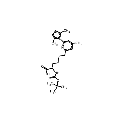 Cc1cc(CSCC[C@@H](NC(=O)OC(C)(C)C)C(=O)O)nc(-n2c(C)ccc2C)c1